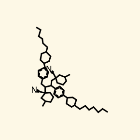 CCCCCCCC1CCC(c2ccc(C(CC3(C#N)CCCC(C)C3)C(Cc3ccc(C4CCC(CCCCCC)CC4)cc3)C3(C#N)CCCC(C)C3)cc2)CC1